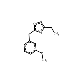 CCc1noc(Cc2cccc(OC)c2)n1